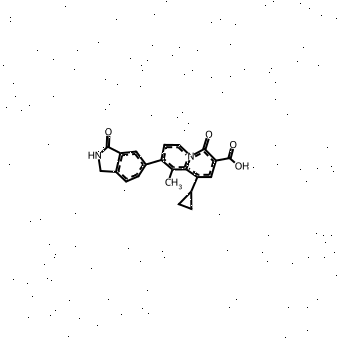 Cc1c(-c2ccc3c(c2)C(=O)NC3)ccn2c(=O)c(C(=O)O)cc(C3CC3)c12